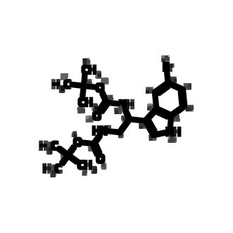 CC(C)(C)OC(=O)NCC(NC(=O)OC(C)(C)C)c1c[nH]c2ccc(Br)cc12